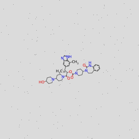 Cc1cc([C@@H](C)C(OC(=O)N2CCC(N3CCc4ccccc4NC3=O)CC2)C(=O)N2CCC(N3CCC(O)CC3)CC2)cc2nc[nH]c12